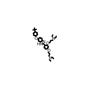 CCN(CC)CCCOc1ccc(-c2nc3ccc(Oc4ccc(C(C)(C)C)cc4)cc3[nH]2)c(OCCCN(CC)CC)c1